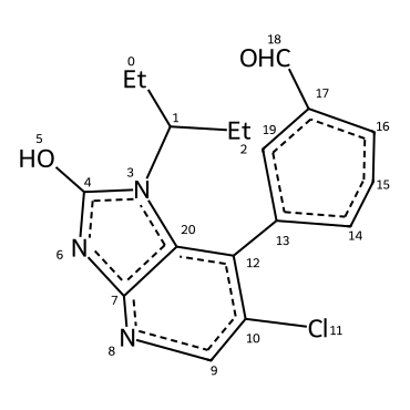 CCC(CC)n1c(O)nc2ncc(Cl)c(-c3cccc(C=O)c3)c21